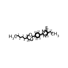 CCCCCC1COC(c2ccc(-c3ncc(CC)c(F)n3)cc2)OC1